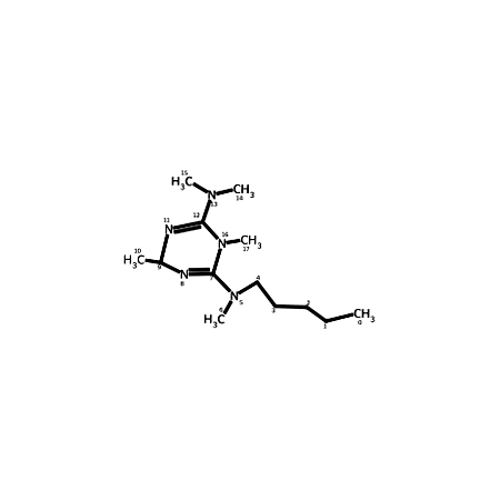 CCCCCN(C)C1=NC(C)N=C(N(C)C)N1C